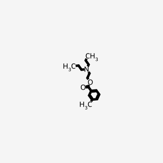 CCCN(CCC)CCOC(=O)c1cccc(C)c1